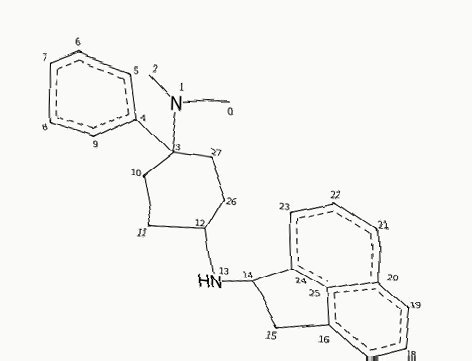 CN(C)C1(c2ccccc2)CCC(NC2Cc3cccc4cccc2c34)CC1